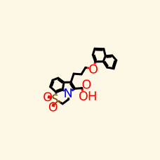 O=C(O)c1c(CCCOc2cccc3ccccc23)c2cccc3c2n1CCS3(=O)=O